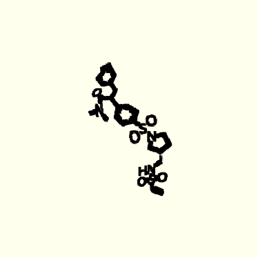 C=CS(=O)(=O)NC[C@H]1CCN(S(=O)(=O)c2ccc(C(Cc3ccccc3)C(=O)N(C)C)cc2)C1